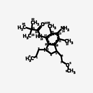 CCCN1CC(CCOC)c2c(C)c(N)c(C)c(NC(=O)C(C)(C)C)c21